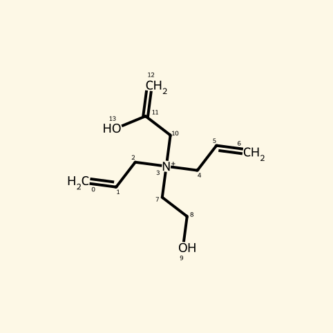 C=CC[N+](CC=C)(CCO)CC(=C)O